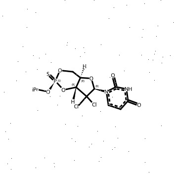 CC(C)O[P@@]1(=S)OC[C@H]2O[C@@H](n3ccc(=O)[nH]c3=O)C(Cl)(Cl)[C@@H]2O1